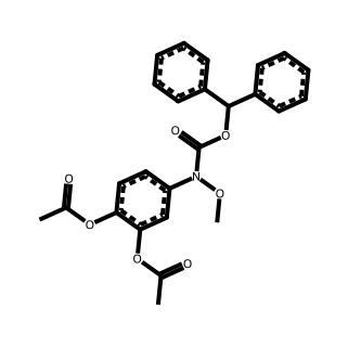 CON(C(=O)OC(c1ccccc1)c1ccccc1)c1ccc(OC(C)=O)c(OC(C)=O)c1